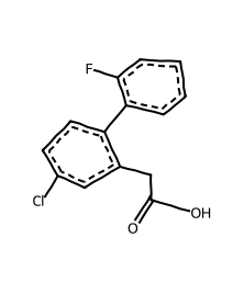 O=C(O)Cc1cc(Cl)ccc1-c1ccccc1F